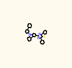 c1ccc(-c2cccc(-n3c4ccccc4c4cc(-c5nc(-c6ccccc6)c6sc7ccccc7c6n5)ccc43)c2)cc1